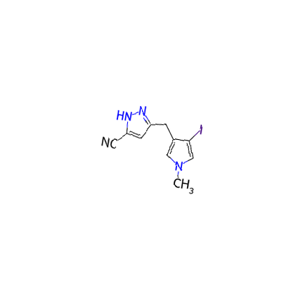 Cn1cc(I)c(Cc2cc(C#N)[nH]n2)c1